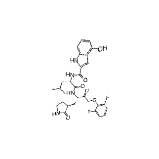 CC(C)C[C@H](NC(=O)c1cc2c(O)cccc2[nH]1)C(=O)N[C@@H](C[C@@H]1CCNC1=O)C(=O)COc1c(F)cccc1F